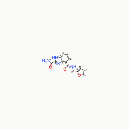 NC(=O)c1nc2c(C(=O)NCc3ccco3)cccc2[nH]1